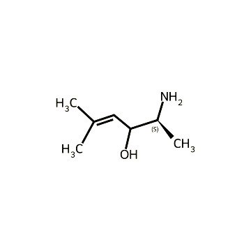 CC(C)=CC(O)[C@H](C)N